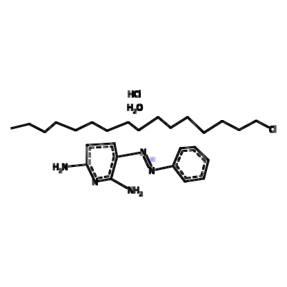 CCCCCCCCCCCCCCCCCl.Cl.Nc1ccc(/N=N/c2ccccc2)c(N)n1.O